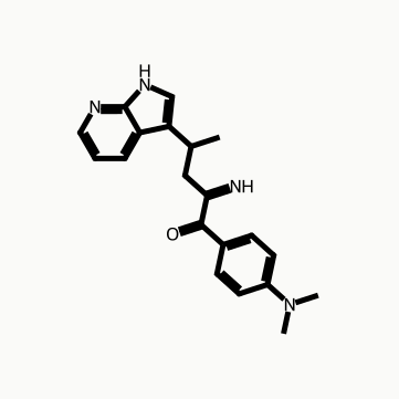 CC(CC(=N)C(=O)c1ccc(N(C)C)cc1)c1c[nH]c2ncccc12